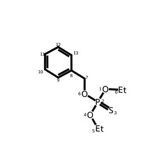 CCOP(=S)(OCC)OCc1ccccc1